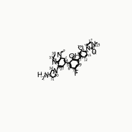 C=Nc1cc(-c2cc(F)cc(-c3ccc(-n4ccn(C)c4=O)c(Cl)c3)c2O)cc(N2CC[C@H](N)C2)c1/N=C\C